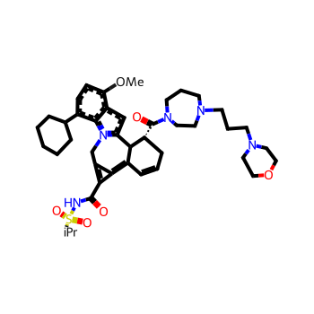 COc1ccc(C2CCCCC2)c2c1cc1n2CC2=C(C(=O)NS(=O)(=O)C(C)C)C2=C2C=CC[C@@H](C(=O)N3CCCN(CCCN4CCOCC4)CC3)C21